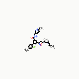 C=C/C=C\C=C(/C)C1CC(c2cc(C(=O)NCc3ccc(C)nc3)cc(-c3ccc(C)cc3F)c2)=NO1